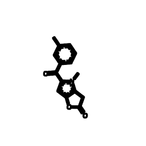 Cc1cccc(C(=O)c2cc3c(n2C)CC(=O)O3)c1